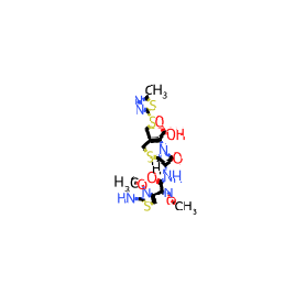 CON=C(C(=O)N[C@@H]1C(=O)N2C(C(=O)O)=C(CSc3nnc(C)s3)CS[C@@H]12)c1csc(=N)n1OC